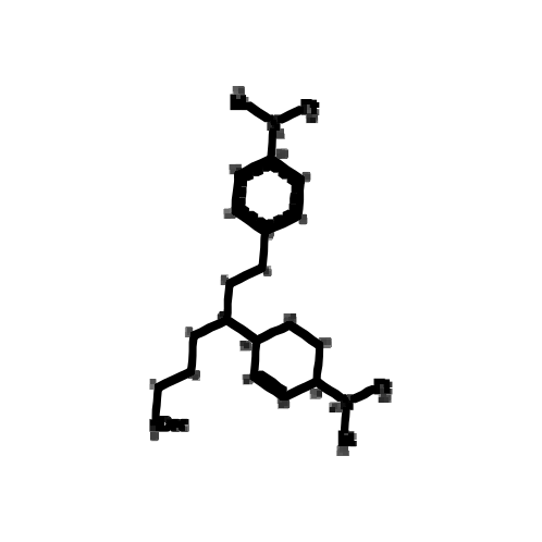 CCCCCCCCCCC[CH]CC(CCc1ccc(N(CC)CC)cc1)C1C=CC(N(CC)CC)CC1